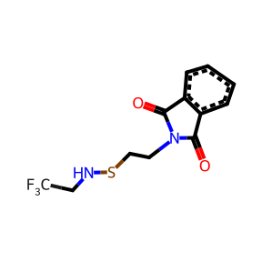 O=C1c2ccccc2C(=O)N1CCSNCC(F)(F)F